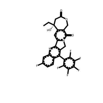 CC[C@@]1(O)CC(=O)OCc2c1cc1n(c2=O)Cc2c-1nc1cc(F)ccc1c2-c1c(F)c(F)c(F)c(F)c1F